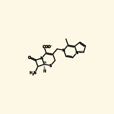 Cc1c2ccc[n+]-2ccn1CC1=C(C(=O)[O-])N2C(=O)C(N)[C@@H]2SC1